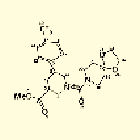 COC(=O)C1CC(c2ccc(C(F)(F)F)cc2)CN(C(=O)N2CCC3(CC2)OCCO3)C1